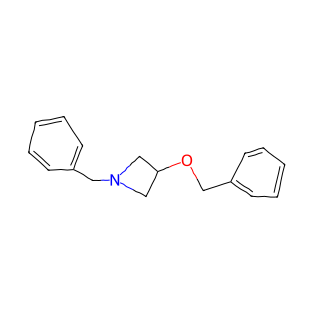 c1ccc(COC2CN(Cc3ccccc3)C2)cc1